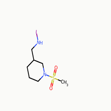 CS(=O)(=O)N1CCCC(CNI)C1